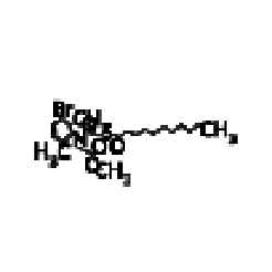 CCCCCCCCCCC(=O)SCC(=O)N(CC(=O)OC)c1c(C)ccc(Br)c1C